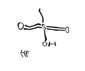 CS(=O)(=O)O.F